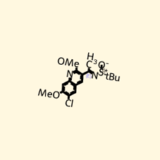 COc1cc2nc(OC)c(/C(C)=N/[S@+]([O-])C(C)(C)C)cc2cc1Cl